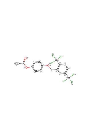 CC(=O)Oc1ccc(OCc2cc(C(F)(F)F)ccc2C(F)(F)F)cc1